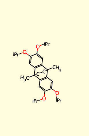 CC(C)Oc1cc2c(cc1OC(C)C)C1(C)CCC2(C)c2cc(OC(C)C)c(OC(C)C)cc21